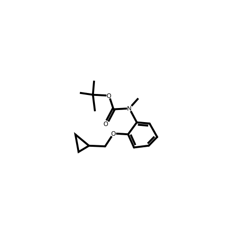 CN(C(=O)OC(C)(C)C)c1ccccc1OCC1CC1